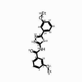 CCOc1cccc(C(=O)Nc2nnc(-c3cccc(OCC)c3)s2)c1